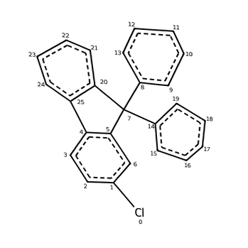 Clc1ccc2c(c1)C(c1ccccc1)(c1ccccc1)c1ccccc1-2